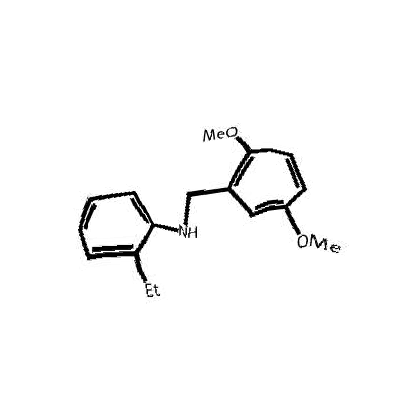 CCc1ccccc1NCc1cc(OC)ccc1OC